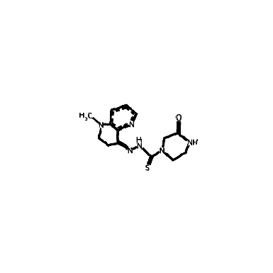 CN1CC/C(=N/NC(=S)N2CCNC(=O)C2)c2ncccc21